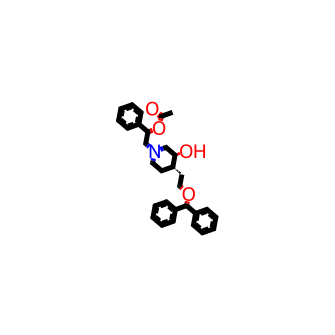 CC(=O)OC(CN1CC[C@@H](CCOC(c2ccccc2)c2ccccc2)[C@H](O)C1)c1ccccc1